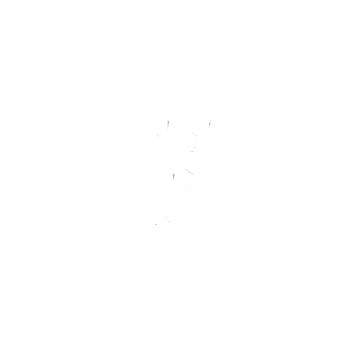 CC(=O)NCCc1ccc(C2=Nc3cc(Cl)ccc3C(C(=O)N3CCOCC3)C2)cc1